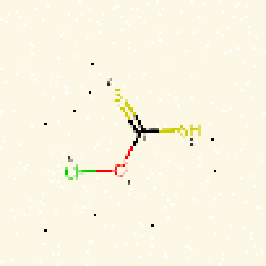 S=C(S)OCl